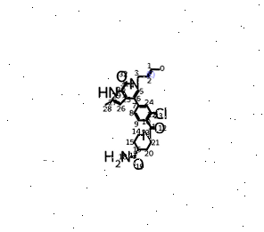 C/C=C/Cn1cc(-c2ccc(C(=O)N3CCC(C(N)=O)CC3)c(Cl)c2)c2cc(C)[nH]c2c1=O